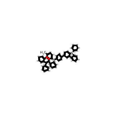 Cc1ccc(N(c2ccc(-c3ccc4c(c3)c3ccccc3n4C3=CCCC=C3)cc2)c2ccccc2-c2ccc3ccccc3c2-c2ccccc2)cc1